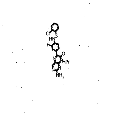 CC(C)n1c(=O)c(-c2ccc(NSc3ccccc3Cl)c(F)c2)nc2cnc(N)nc21